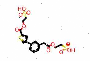 O=C(Cc1cccc(-c2csc(C(=O)OCCS(=O)(=O)O)c2)c1)OCCS(=O)(=O)O